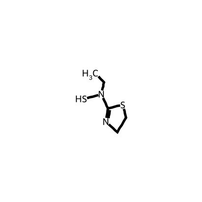 CCN(S)C1=NCCS1